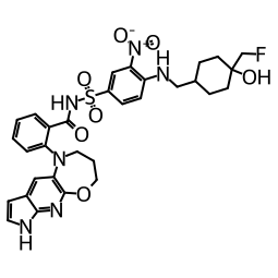 O=C(NS(=O)(=O)c1ccc(NCC2CCC(O)(CF)CC2)c([N+](=O)[O-])c1)c1ccccc1N1CCCOc2nc3[nH]ccc3cc21